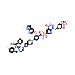 CC(C)c1ccccc1[C@@H]1CN(Cc2ccc(F)cc2)CCN1C1CC2(CCN(c3ccc(C(=O)NS(=O)(=O)c4cnc(NCC5CCC(C)(O)CC5)c([N+](=O)[O-])c4)c(Oc4cnc5[nH]cc(F)c5c4)c3)CC2)C1